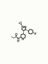 CCC(=O)Nc1cc(-c2cn(C3CC3)nc2-c2ccc(F)cc2)ccn1